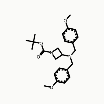 COc1ccc(CN(Cc2ccc(OC)cc2)C2CN(C(=O)OC(C)(C)C)C2)cc1